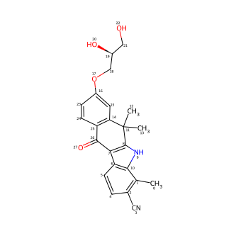 Cc1c(C#N)ccc2c3c([nH]c12)C(C)(C)c1cc(OC[C@@H](O)CO)ccc1C3=O